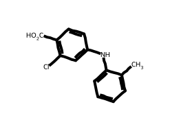 Cc1ccccc1Nc1ccc(C(=O)O)c(Cl)c1